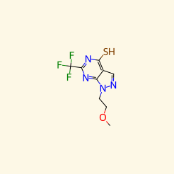 COCCn1ncc2c(S)nc(C(F)(F)F)nc21